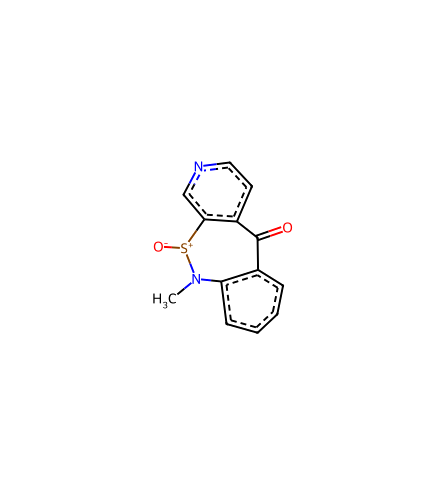 CN1c2ccccc2C(=O)c2ccncc2[S+]1[O-]